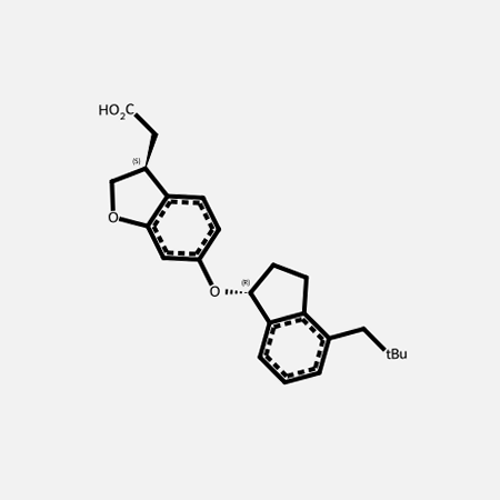 CC(C)(C)Cc1cccc2c1CC[C@H]2Oc1ccc2c(c1)OC[C@H]2CC(=O)O